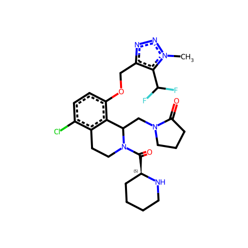 Cn1nnc(COc2ccc(Cl)c3c2C(CN2CCCC2=O)N(C(=O)[C@@H]2CCCCN2)CC3)c1C(F)F